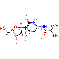 CCCC(CCC)C(=O)Nc1ccn([C@@]2(O)O[C@H](CO)[C@@H](O)C2(F)F)c(=O)n1